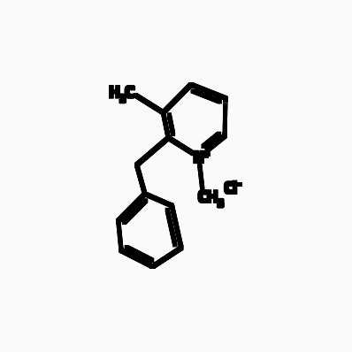 Cc1ccc[n+](C)c1Cc1ccccc1.[Cl-]